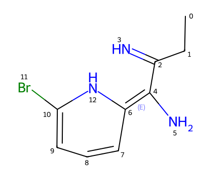 CCC(=N)/C(N)=C1/C=CC=C(Br)N1